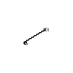 CCSCCCCCCCCCCCCCCc1cccs1